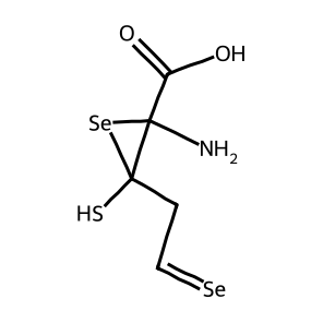 NC1(C(=O)O)[Se]C1(S)CC=[Se]